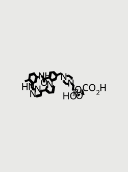 Cc1ccc(NC(=O)c2ccc(CN3CCN(CCP(=O)(O)OC(C)C(=O)O)CC3)cc2)cc1Nc1nccc(-c2cccnc2)n1